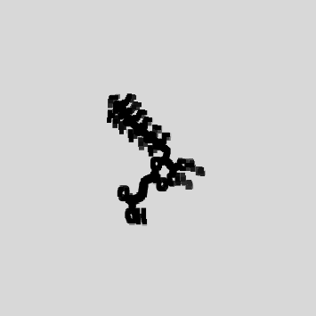 CC(C)C(CC(F)(F)C(F)(F)C(F)(F)C(F)(F)C(F)(F)C(F)(F)F)OC(=O)C=CC(=O)O